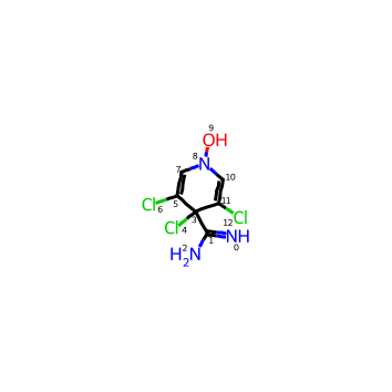 N=C(N)C1(Cl)C(Cl)=CN(O)C=C1Cl